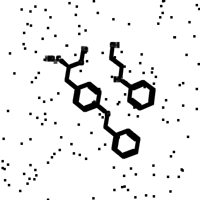 CCO[C@@H](Cc1ccc(OCc2ccccc2)cc1)C(=O)O.OCCNc1ccccc1